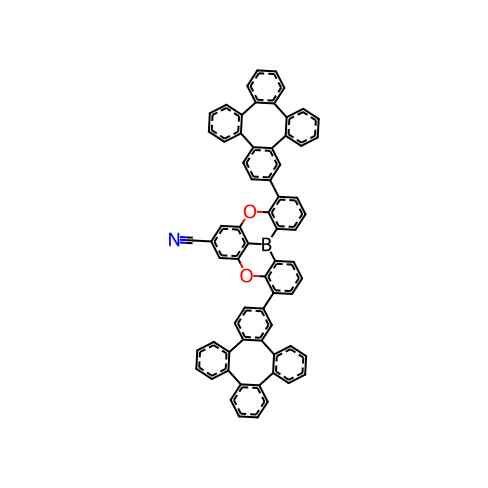 N#Cc1cc2c3c(c1)Oc1c(cccc1-c1ccc4c(c1)-c1ccccc1-c1ccccc1-c1ccccc1-4)B3c1cccc(-c3ccc4c(c3)-c3ccccc3-c3ccccc3-c3ccccc3-4)c1O2